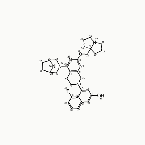 Oc1cc(N2CCc3c(nc(OCC45CCCN4CCC5)nc3N3CC4CCC(C3)N4)C2)c2c(F)cccc2c1